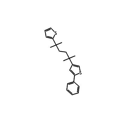 CC(C)(CCC(C)(C)c1cccs1)c1csc(-c2ccccc2)c1